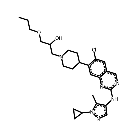 CCCOCC(O)CN1CCC(c2cc3nc(Nc4cnn(C5CC5)c4C)ncc3cc2Cl)CC1